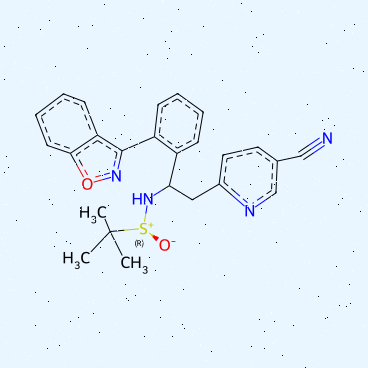 CC(C)(C)[S@+]([O-])NC(Cc1ccc(C#N)cn1)c1ccccc1-c1noc2ccccc12